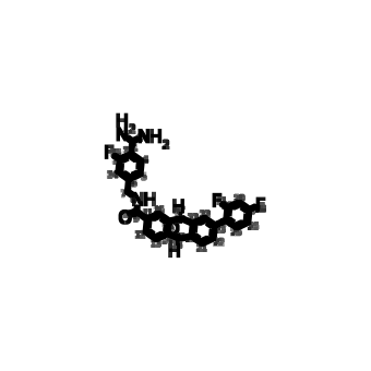 NC(N)c1ccc(CNC(=O)c2ccc3c(c2)[C@@H]2O[C@H]3c3ccc(-c4ccc(F)cc4F)cc32)cc1F